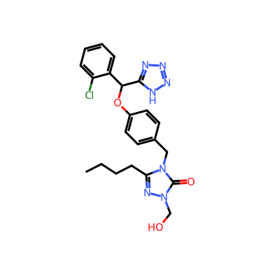 CCCCc1nn(CO)c(=O)n1Cc1ccc(OC(c2nnn[nH]2)c2ccccc2Cl)cc1